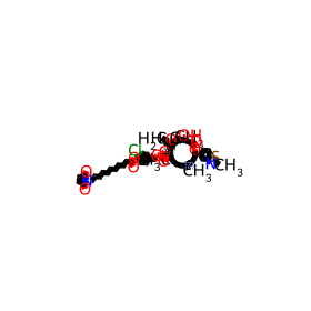 C=CC[C@H]1C(=O)C(C)(C)[C@@H](O)CC(=O)O[C@H](c2ccc3sc(C)nc3c2)C/C=C(/C)CCC[C@H](C)[C@@H]1OC(=O)OCc1ccc(OC(=O)CCCCCCCCCCN2C(=O)C=CC2=O)c(Cl)c1